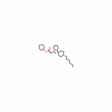 CCCCCC[C@H]1CC[C@@](CCCC(=O)OC2CCCCC2)(C2CCCCC2)CC1